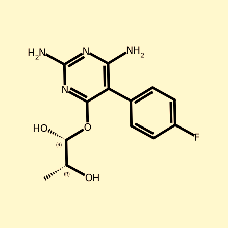 C[C@@H](O)[C@H](O)Oc1nc(N)nc(N)c1-c1ccc(F)cc1